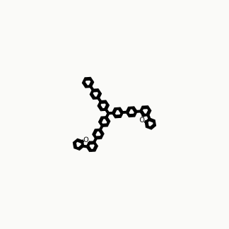 c1ccc(-c2ccc(-c3ccc(C(c4ccc(-c5ccc(-c6cccc7c6oc6ccccc67)cc5)cc4)c4ccc(-c5ccc(-c6cccc7c6oc6ccccc67)cc5)cc4)cc3)cc2)cc1